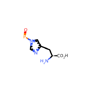 N[C@@H](Cc1cn(P=O)cn1)C(=O)O